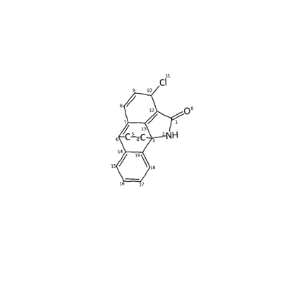 O=C1NC23CCC(=C4C=CC(Cl)C1=C42)c1ccccc13